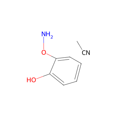 CC#N.NOc1ccccc1O